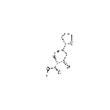 COC(=O)C1=NC=C(C2CCCO2)CC1=O